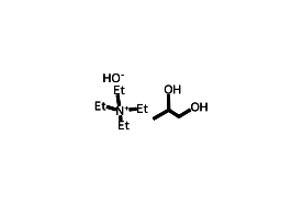 CC(O)CO.CC[N+](CC)(CC)CC.[OH-]